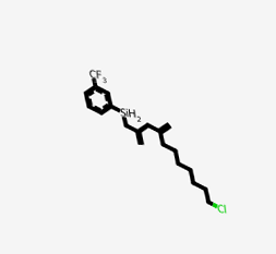 C=C(CCCCCCCCl)CC(=C)C[SiH2]c1cccc(C(F)(F)F)c1